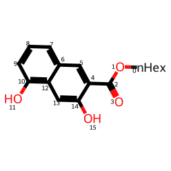 CCCCCCOC(=O)c1cc2cccc(O)c2cc1O